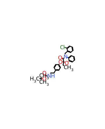 CCC1(Oc2ccc(CCNC(=O)OC(C)(C)C)cc2)Oc2ccccc2N(Cc2ccccc2Cl)C1=O